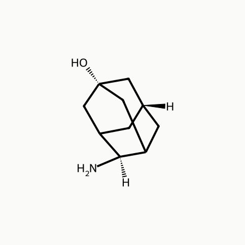 N[C@H]1C2C[C@H]3CC1C[C@@](O)(C2)C3